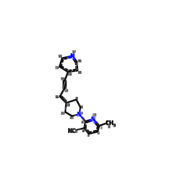 Cc1ccc(C#N)c(N2CCC(=CC#Cc3ccncc3)CC2)n1